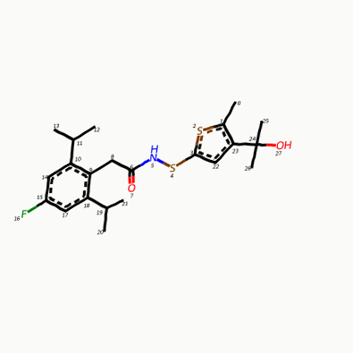 Cc1sc(SNC(=O)Cc2c(C(C)C)cc(F)cc2C(C)C)cc1C(C)(C)O